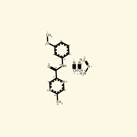 C#N.C#N.C=NN.COc1cccc(NC(=O)c2cnc(C)cn2)c1